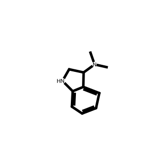 CN(C)C1CNc2ccccc21